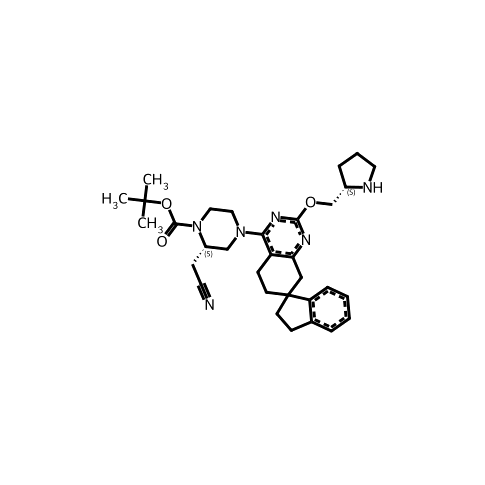 CC(C)(C)OC(=O)N1CCN(c2nc(OC[C@@H]3CCCN3)nc3c2CCC2(CCc4ccccc42)C3)C[C@@H]1CC#N